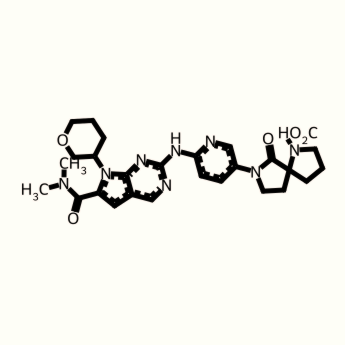 CN(C)C(=O)c1cc2cnc(Nc3ccc(N4CCC5(CCCN5C(=O)O)C4=O)cn3)nc2n1C1CCCOC1